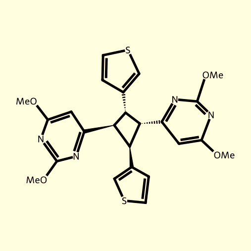 COc1cc([C@H]2[C@H](c3ccsc3)[C@H](c3cc(OC)nc(OC)n3)[C@H]2c2ccsc2)nc(OC)n1